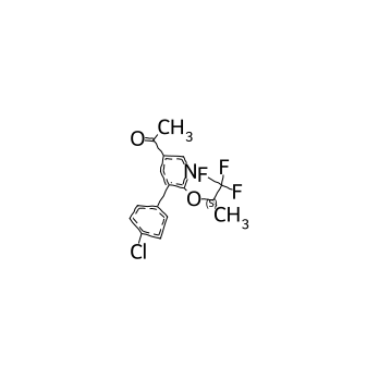 CC(=O)c1cnc(O[C@@H](C)C(F)(F)F)c(-c2ccc(Cl)cc2)c1